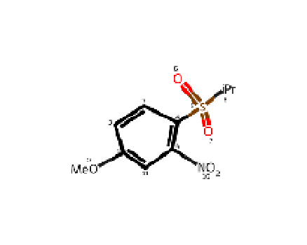 COc1ccc(S(=O)(=O)C(C)C)c([N+](=O)[O-])c1